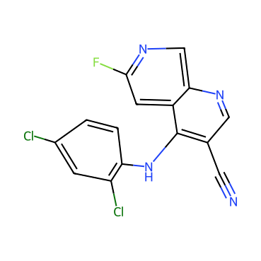 N#Cc1cnc2cnc(F)cc2c1Nc1ccc(Cl)cc1Cl